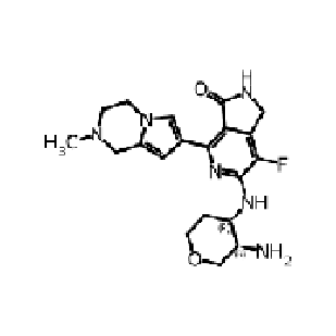 CN1CCn2cc(-c3nc(N[C@@H]4CCOC[C@@H]4N)c(F)c4c3C(=O)NC4)cc2C1